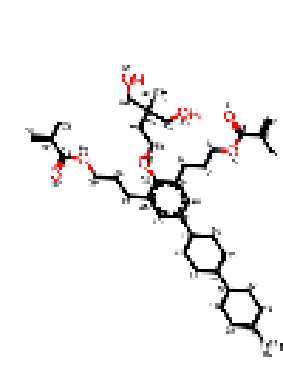 C=C(C)C(=O)OCCCc1cc(C2CCC(C3CCC(CCCCC)CC3)CC2)cc(CCCOC(=O)C(=C)C)c1OCCC(CC)(CO)CO